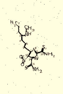 CCCC(CCCc1nc(C(N)=S)nc(C(N)=S)c1[N+](=O)[O-])NC